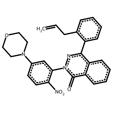 C=CCc1ccccc1-c1nn(-c2cc(N3CCOCC3)ccc2[N+](=O)[O-])c(=O)c2ccccc12